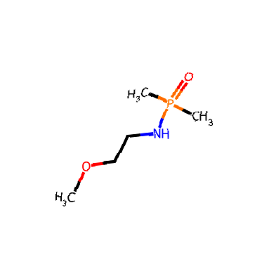 COCCNP(C)(C)=O